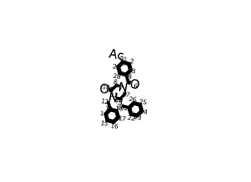 CC(=O)c1ccc(C(=O)N2CC(=O)N(Cc3ccccc3)[C@@H](Cc3ccccc3)C2)cc1